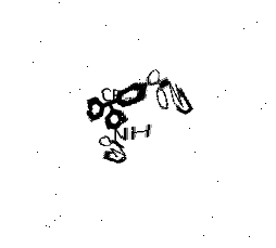 O=C(CN1CCCC1)Nc1ccc(C(c2ccccc2)(c2ccc(OC(=O)CN3CCCC3)cc2)C(F)(F)F)cc1